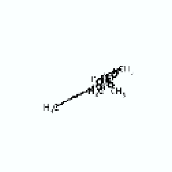 CCCCCCCCCCCCCCCCOc1ccc(CN(Cc2ccc[n+](CC)c2)S(=O)(=O)c2ccc(C)cc2)cc1OC.[I-]